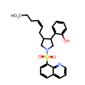 O=C(O)CC/C=C\CC1CN(S(=O)(=O)c2cccc3cccnc23)CC1c1ccccc1O